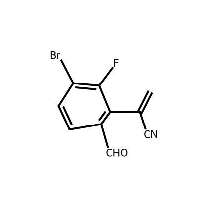 C=C(C#N)c1c(C=O)ccc(Br)c1F